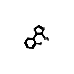 Cc1ncsc1-c1ccccc1F